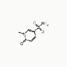 Cn1cc(S(N)(=O)=O)ccc1=O